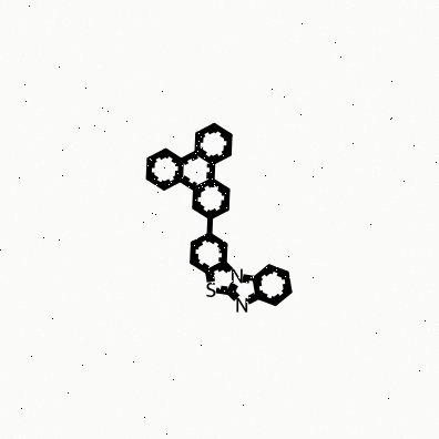 c1ccc2c(c1)nc1sc3ccc(-c4ccc5c6ccccc6c6ccccc6c5c4)cc3n12